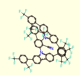 N#Cc1c(-n2c3cc(-c4ccc(C(F)(F)F)cc4C(F)(F)F)ccc3c3ccc(-c4ccc(C(F)(F)F)cc4C(F)(F)F)cc32)ccc(-c2c(C(F)(F)F)cccc2C(F)(F)F)c1-n1c2cc(-c3ccc(C(F)(F)F)cc3C(F)(F)F)ccc2c2ccc(-c3ccc(C(F)(F)F)cc3C(F)(F)F)cc21